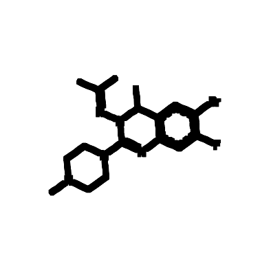 CC(C)=NN1C(N2CCN(C)CC2)=Nc2cc(F)c(Br)cc2C1C